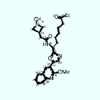 CCC(=O)CCCCC[C@H](NC(=O)CC1CN(C)C1)c1ncc(-c2cc3ccccc3nc2OC)o1